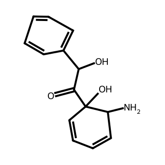 NC1C=CC=CC1(O)C(=O)C(O)c1ccccc1